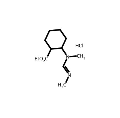 CCOC(=O)C1CCCCC1N(C)C=NC.Cl